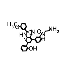 COc1cccc(C(=O)Nc2nc(-c3ccccc3O)cc(-c3cccc(C(=O)NCCN)c3)c2C#N)c1